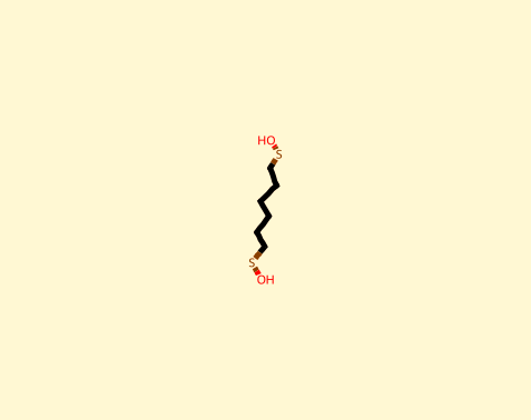 OSCCCCCCSO